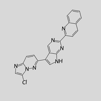 Clc1cnc2ccc(-c3c[nH]c4nc(-c5ccc6ccccc6n5)ncc34)nn12